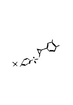 O=S(=O)(NC1CC1c1ccc(Cl)c(Cl)c1)c1ccc(OC(F)(F)F)cc1